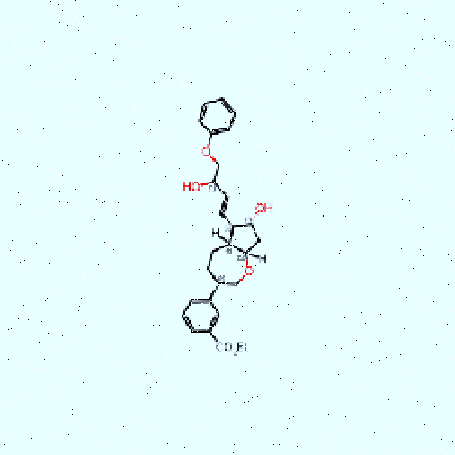 CCOC(=O)c1cccc([C@H]2CC[C@@H]3[C@@H](C=C[C@@H](O)COc4ccccc4)[C@H](O)C[C@@H]3OC2)c1